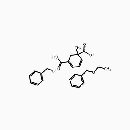 CC1(C(=O)O)C=CC=C(C(=O)O)C1.CCOCc1ccccc1.[O]Cc1ccccc1